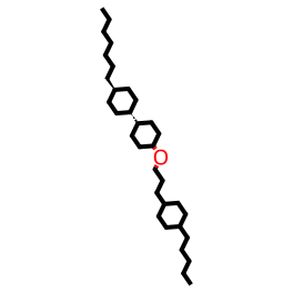 CCCCCCC[C@H]1CC[C@H](C2CCC(OCCCC3CCC(CCCCC)CC3)CC2)CC1